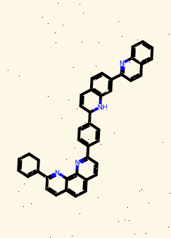 C1=CCCC(c2ccc3ccc4ccc(-c5ccc(C6C=Cc7ccc(-c8ccc9ccccc9n8)cc7N6)cc5)nc4c3n2)=C1